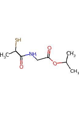 CC(C)OC(=O)CNC(=O)C(C)S